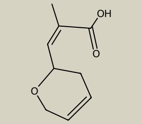 CC(=CC1CC=CCO1)C(=O)O